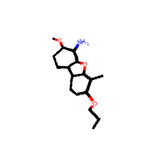 CCCOC1CCC2C3CCC(OC)C(N)C3OC2C1C